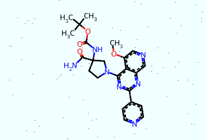 COc1cncc2nc(-c3ccncc3)nc(N3CCC(NC(=O)OC(C)(C)C)(C(N)=O)C3)c12